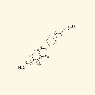 CCCCC[Si@H]1CC[C@H](CCc2ccc(OCC)c(F)c2F)CC1